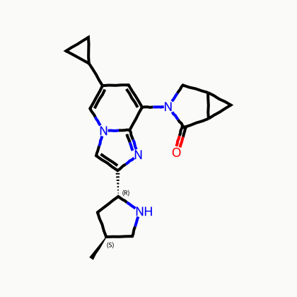 C[C@@H]1CN[C@@H](c2cn3cc(C4CC4)cc(N4CC5CC5C4=O)c3n2)C1